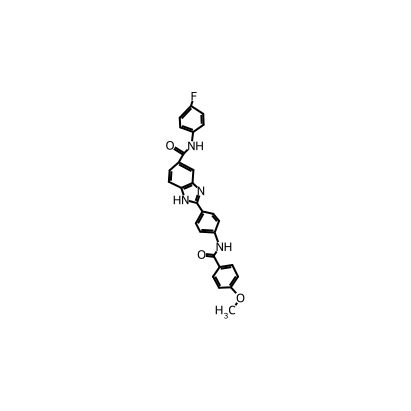 COc1ccc(C(=O)Nc2ccc(-c3nc4cc(C(=O)Nc5ccc(F)cc5)ccc4[nH]3)cc2)cc1